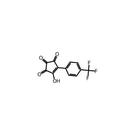 O=c1c(O)c(-c2ccc(C(F)(F)F)cc2)c(=O)c1=O